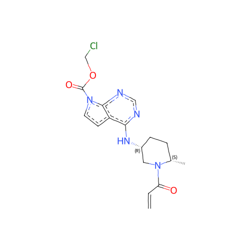 C=CC(=O)N1C[C@H](Nc2ncnc3c2ccn3C(=O)OCCl)CC[C@@H]1C